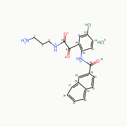 Cl.NCCCNC(=O)C(=O)c1cc(Cl)ccc1NC(=O)c1ccc2ccccc2c1